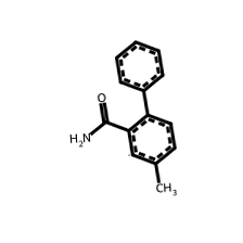 Cc1[c]c(C(N)=O)c(-c2ccccc2)cc1